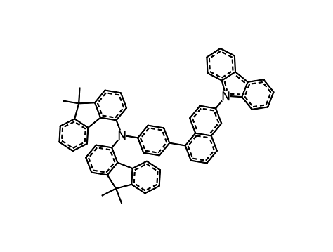 CC1(C)c2ccccc2-c2c(N(c3ccc(-c4cccc5cc(-n6c7ccccc7c7ccccc76)ccc45)cc3)c3cccc4c3-c3ccccc3C4(C)C)cccc21